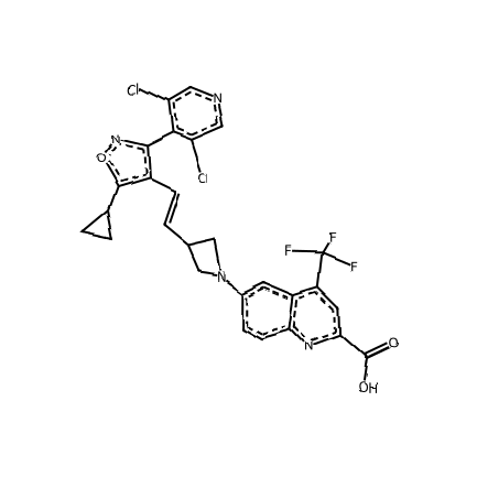 O=C(O)c1cc(C(F)(F)F)c2cc(N3CC(C=Cc4c(-c5c(Cl)cncc5Cl)noc4C4CC4)C3)ccc2n1